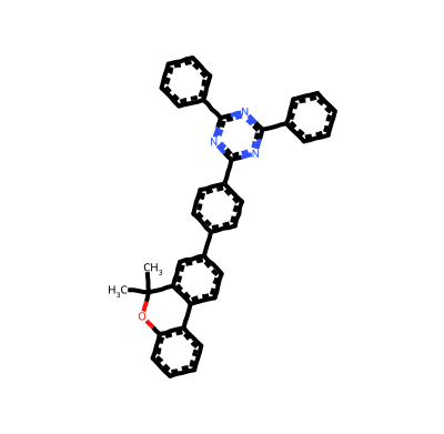 CC1(C)Oc2ccccc2-c2ccc(-c3ccc(-c4nc(-c5ccccc5)nc(-c5ccccc5)n4)cc3)cc21